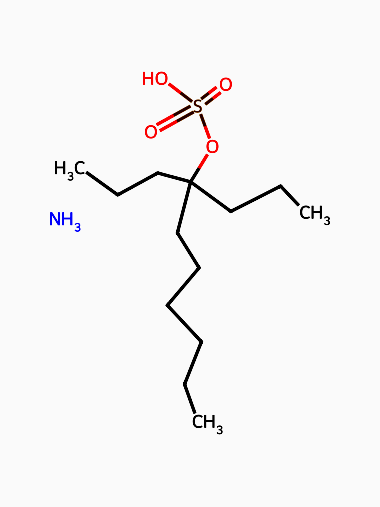 CCCCCCC(CCC)(CCC)OS(=O)(=O)O.N